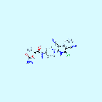 CCc1c(C#N)c(Cl)nc(N2CCC(NC(=O)[C@H](C)OC(N)=O)CC2)c1C#N